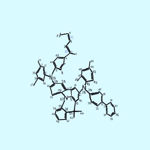 C/C(=C\C=C/I)c1ccc(N(c2cc(C)cc(C)c2)c2ccc3c(c2)c2cc(N(c4ccc(-c5ccccc5)cc4)c4ccc(C)cc4C)cc4c2n3-c2ccccc2C4(C)C)cc1